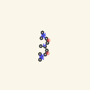 c1ccc(-c2cc(-c3ccc4oc5ccc(-n6c7ccccc7n7c8ccccc8nc67)cc5c4c3)cc(-c3ccc4oc5ccc(-n6c7ccccc7n7c8ccccc8nc67)cc5c4c3)n2)cc1